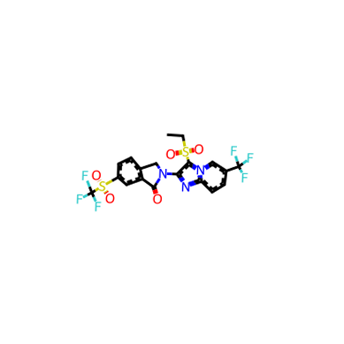 CCS(=O)(=O)c1c(N2Cc3ccc(S(=O)(=O)C(F)(F)F)cc3C2=O)nc2ccc(C(F)(F)F)cn12